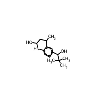 C[C]1CC(O)Nc2ccc(C(O)C(C)(C)C)cc21